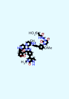 COc1ccc(C#CCNC2(C)CCN(C3CCNCC3)[C@@H](c3nc([C@@](CO)(OC4CC4)c4ccccc4)c4cc(-c5cn(C)c(=O)c6[nH]ccc56)ccc4n3)C2)cc1N1CCC(=O)N(CNC(=O)CCC(=O)O)C1=O